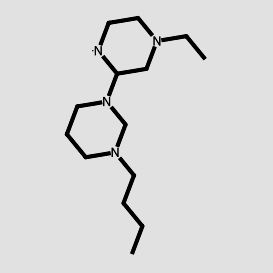 CCCCN1CCCN(C2CN(CC)CC[N]2)C1